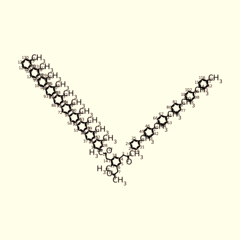 CC(=O)Cc1cc(CC(C)=O)c(C)c(CC(C)=O)c1.Cc1ccccc1.Cc1ccccc1.Cc1ccccc1.Cc1ccccc1.Cc1ccccc1.Cc1ccccc1.Cc1ccccc1.Cc1ccccc1.Cc1ccccc1.Cc1ccccc1.Cc1ccccc1.Cc1ccccc1.Cc1ccccc1.Cc1ccccc1.Cc1ccccc1.Cc1ccccc1